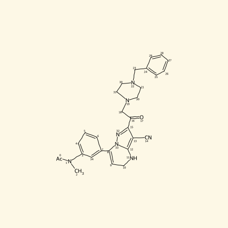 CC(=O)N(C)c1cccc(C2=CCNc3c(C#N)c(C(=O)CN4CCN(Cc5ccccc5)CC4)nn32)c1